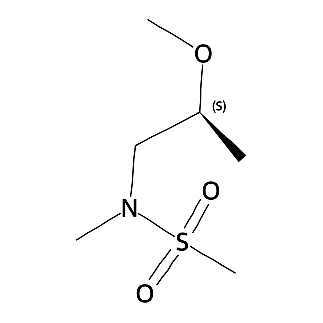 CO[C@@H](C)CN(C)S(C)(=O)=O